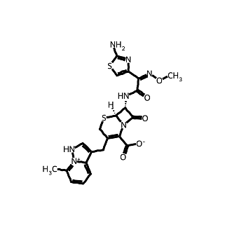 CO/N=C(\C(=O)N[C@@H]1C(=O)N2C(C(=O)[O-])=C(Cc3c[nH][n+]4c(C)cccc34)CS[C@@H]12)c1csc(N)n1